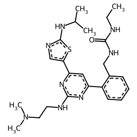 CCNC(=O)NCc1ccccc1-c1cc(-c2cnc(NC(C)C)s2)nc(NCCN(C)C)n1